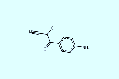 N#CC(Cl)C(=O)c1ccc(N)cc1